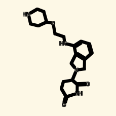 O=C1CCC(N2Cc3cccc(NCCOC4CCNCC4)c3C2)C(=O)N1